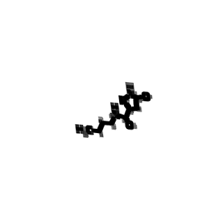 CCCCNC(=O)c1cc([O])[nH]n1